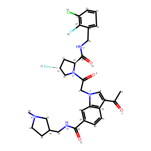 CC(=O)c1cn(CC(=O)N2C[C@H](F)C[C@H]2C(=O)NCc2cccc(Cl)c2F)c2cc(C(=O)NCC3CCN(C)C3)ccc12